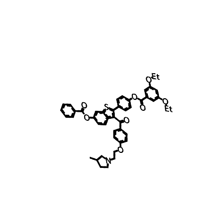 CCOc1cc(OCC)cc(C(=O)Oc2ccc(-c3sc4cc(OC(=O)c5ccccc5)ccc4c3C(=O)c3ccc(OCCN4CCC(C)C4)cc3)cc2)c1